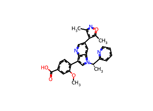 COc1cc(C(=O)O)ccc1-c1cn([C@@H](C)c2ccccn2)c2cc(-c3c(C)noc3C)cnc12